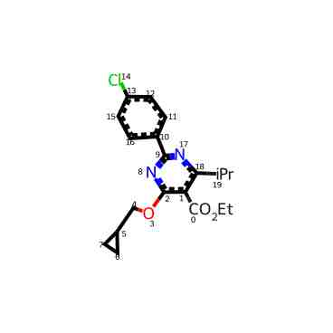 CCOC(=O)c1c(OCC2CC2)nc(-c2ccc(Cl)cc2)nc1C(C)C